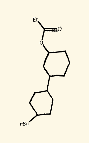 CCCCC1CCC(C2CCCC(OC(=O)CC)C2)CC1